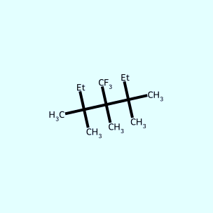 CCC(C)(C)C(C)(C(F)(F)F)C(C)(C)CC